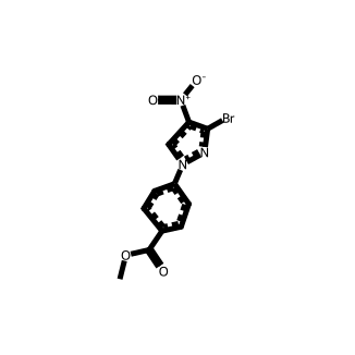 COC(=O)c1ccc(-n2cc([N+](=O)[O-])c(Br)n2)cc1